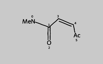 CNC(=O)/C=C\C(C)=O